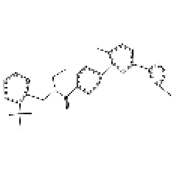 CCN(Cc1ccccc1C(F)(F)F)C(=O)c1ccc(-c2cc(-c3nnc(C)o3)ccc2C)cc1